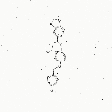 Cc1ccc(COc2ccc3c(c2)C(=O)CC(c2ccc4c(c2)OCO4)O3)cc1